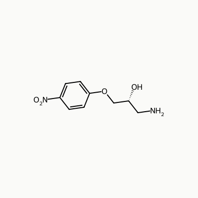 NC[C@@H](O)COc1ccc([N+](=O)[O-])cc1